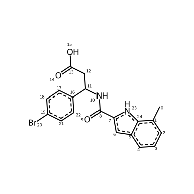 Cc1cccc2cc(C(=O)NC(CC(=O)O)c3ccc(Br)cc3)[nH]c12